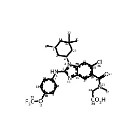 C[C@@H]1C[C@H](n2c(Nc3ccc(OC(F)(F)F)cc3)nc3cc(C(=O)N(C)CC(=O)O)c(Cl)cc32)CC(C)(C)C1